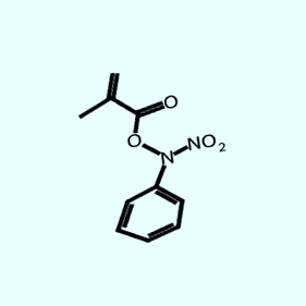 C=C(C)C(=O)ON(c1ccccc1)[N+](=O)[O-]